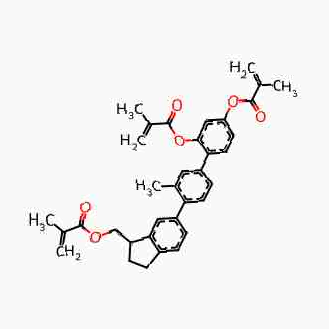 C=C(C)C(=O)OCC1CCc2ccc(-c3ccc(-c4ccc(OC(=O)C(=C)C)cc4OC(=O)C(=C)C)cc3C)cc21